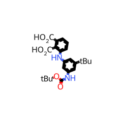 CC(C)(C)OC(=O)Nc1cc(Nc2cccc(C(=O)O)c2C(=O)O)cc(C(C)(C)C)c1